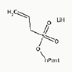 C=CCS(=O)(=O)OCCCCC.[LiH]